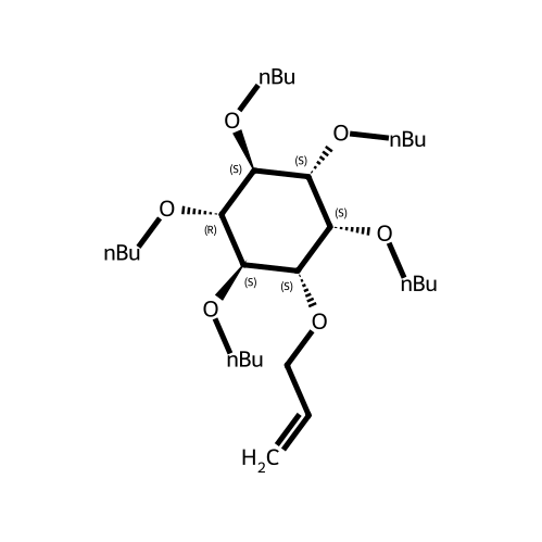 C=CCO[C@@H]1[C@@H](OCCCC)[C@H](OCCCC)[C@@H](OCCCC)[C@H](OCCCC)[C@@H]1OCCCC